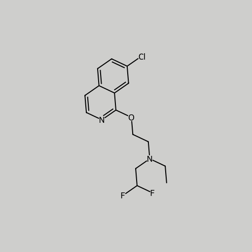 CCN(CCOc1nccc2ccc(Cl)cc12)CC(F)F